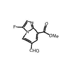 COC(=O)c1cc(C=O)cn2c(F)cnc12